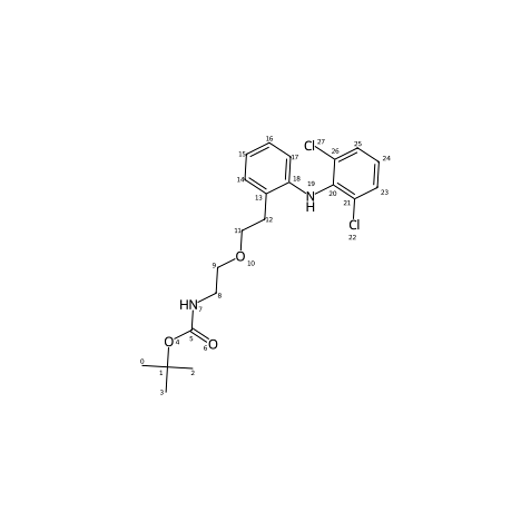 CC(C)(C)OC(=O)NCCOCCc1ccccc1Nc1c(Cl)cccc1Cl